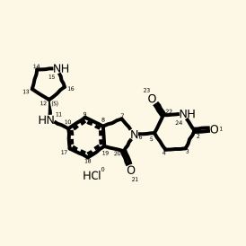 Cl.O=C1CCC(N2Cc3cc(N[C@H]4CCNC4)ccc3C2=O)C(=O)N1